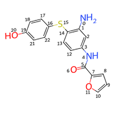 Nc1cc(NC(=O)c2ccco2)ccc1Sc1ccc(O)cc1